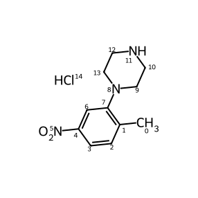 Cc1ccc([N+](=O)[O-])cc1N1CCNCC1.Cl